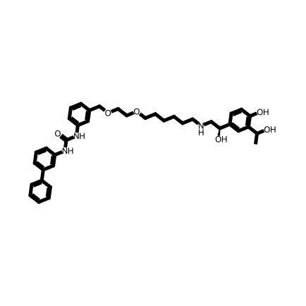 CC(O)c1cc([C@@H](O)CNCCCCCCOCCOCc2cccc(NC(=O)Nc3cccc(-c4ccccc4)c3)c2)ccc1O